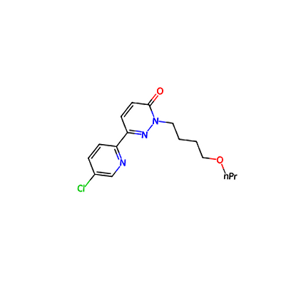 CCCOCCCCn1nc(-c2ccc(Cl)cn2)ccc1=O